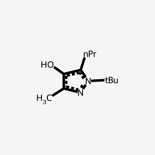 CCCc1c(O)c(C)nn1C(C)(C)C